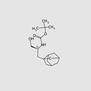 CC(C)(C)OC(=O)N[C@H](CO)CC12CC3CC(CC1C3)C2